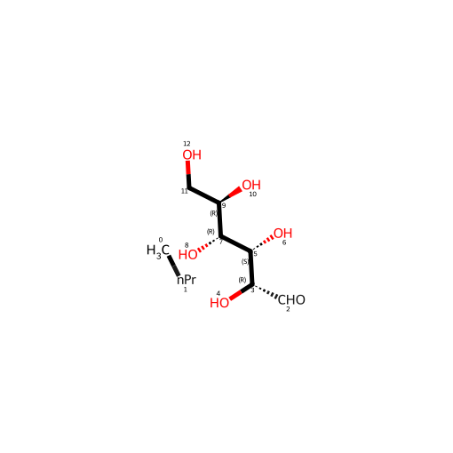 CCCC.O=C[C@H](O)[C@@H](O)[C@H](O)[C@H](O)CO